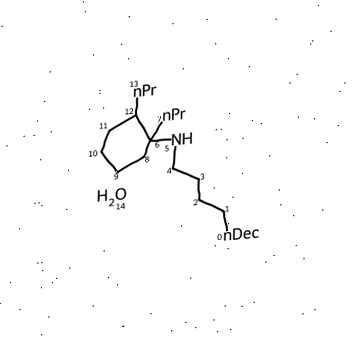 CCCCCCCCCCCCCCNC1(CCC)CCCCC1CCC.O